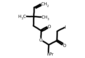 C=CC(C)(C)CC(=O)OC(CCC)C(=O)CI